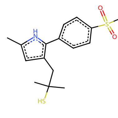 Cc1cc(CC(C)(C)S)c(-c2ccc(S(C)(=O)=O)cc2)[nH]1